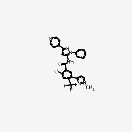 Cn1ccc(-c2cc(C(=O)Nc3cc(-c4ccncc4)nn3-c3ccccc3)c(Cl)cc2C(F)(F)F)n1